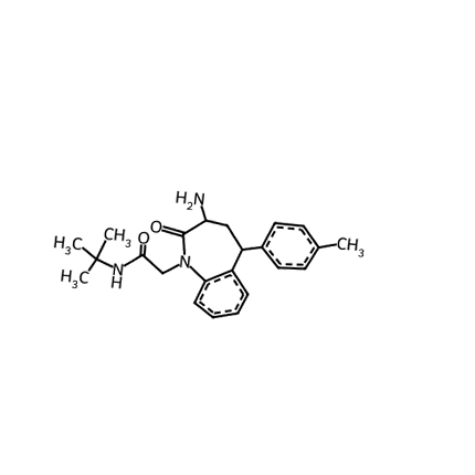 Cc1ccc(C2CC(N)C(=O)N(CC(=O)NC(C)(C)C)c3ccccc32)cc1